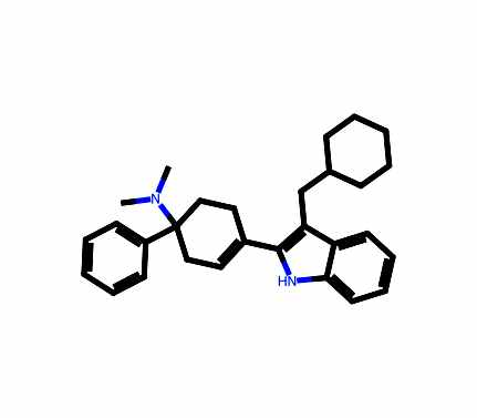 CN(C)C1(c2ccccc2)CC=C(c2[nH]c3ccccc3c2CC2CCCCC2)CC1